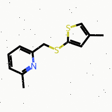 Cc1csc(SCc2cccc(C)n2)c1